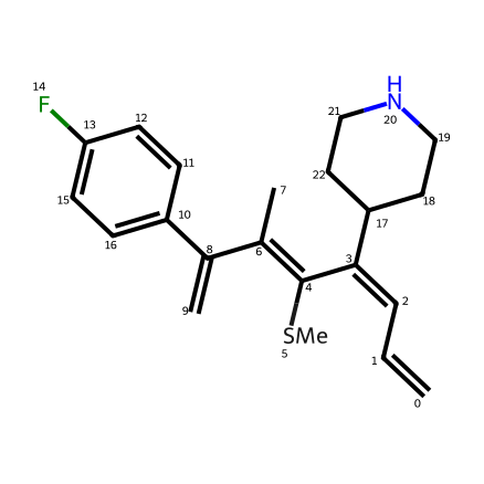 C=C/C=C(\C(SC)=C(/C)C(=C)c1ccc(F)cc1)C1CCNCC1